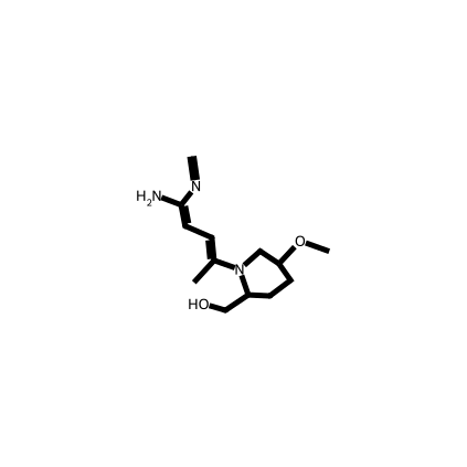 C=N/C(N)=C\C=C(/C)N1CC(OC)CCC1CO